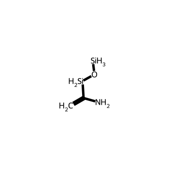 C=C(N)[SiH2]O[SiH3]